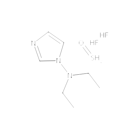 CCN(CC)n1ccnc1.F.F.O=[SH2]